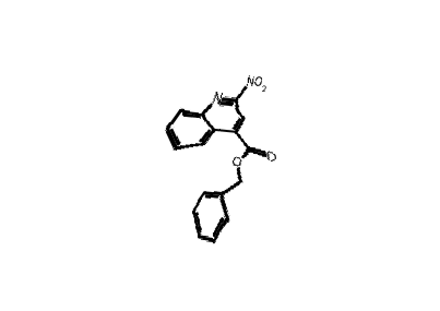 O=C(OCc1ccccc1)c1cc([N+](=O)[O-])nc2ccccc12